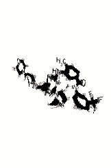 Cc1ccc(C(=O)Nc2cccc(C(F)(F)F)c2)cc1Nc1nc(NCCN2CCOCC2)nc(-n2ccnc2)n1